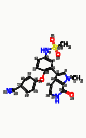 Cn1cc(-c2cc(NS(C)(=O)=O)ccc2Oc2ccc(C#N)cc2)c2cc[nH]c(=O)c21